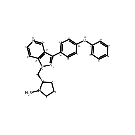 BN1CCC[C@@H]1Cn1nc(-c2ccc(Oc3ccccc3)cc2)c2cnccc21